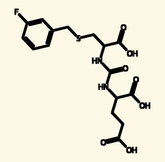 O=C(O)CCC(NC(=O)NC(CSCc1cccc(F)c1)C(=O)O)C(=O)O